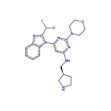 FC(F)c1nc2ccccc2n1-c1cc(NC[C@H]2CCNC2)nc(N2CCOCC2)n1